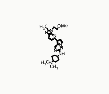 COCCn1c(C)nc2ccc(-c3ccn4nc(NC5CCC(N(C)C)CC5)ncc34)nc21